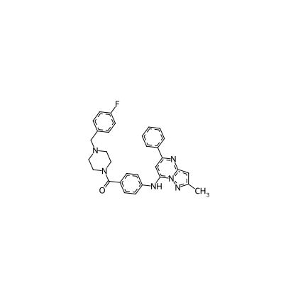 Cc1cc2nc(-c3ccccc3)cc(Nc3ccc(C(=O)N4CCN(Cc5ccc(F)cc5)CC4)cc3)n2n1